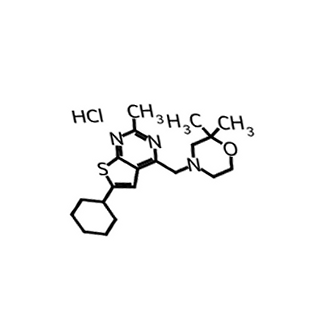 Cc1nc(CN2CCOC(C)(C)C2)c2cc(C3CCCCC3)sc2n1.Cl